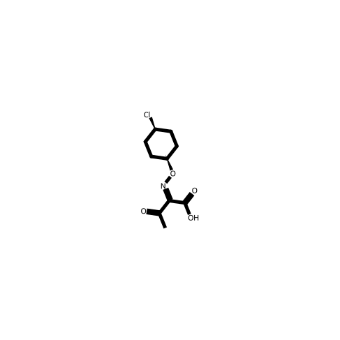 CC(=O)C(=NO[C@H]1CC[C@@H](Cl)CC1)C(=O)O